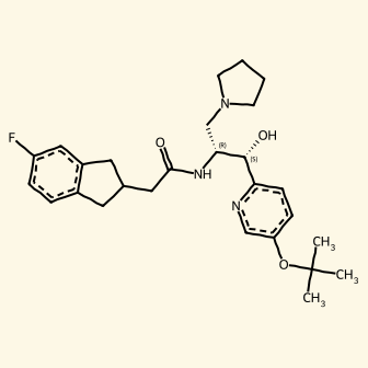 CC(C)(C)Oc1ccc([C@@H](O)[C@@H](CN2CCCC2)NC(=O)CC2Cc3ccc(F)cc3C2)nc1